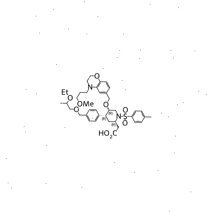 CCOC(C)COCc1ccc([C@H]2C[C@H](CC(=O)O)N(S(=O)(=O)c3ccc(C)cc3)C[C@@H]2OCc2ccc3c(c2)N(CCCOC)CCO3)cc1